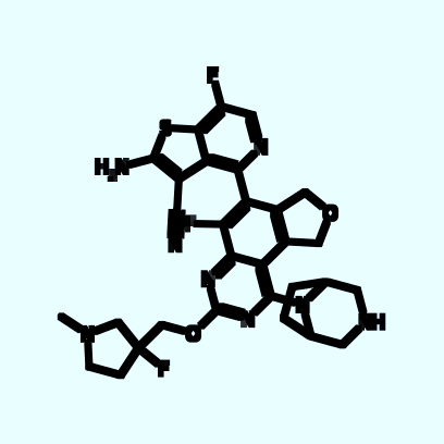 CN1CCC(F)(COc2nc(N3C4CCC3CNC4)c3c4c(c(-c5ncc(F)c6sc(N)c(C#N)c56)c(F)c3n2)COC4)C1